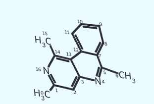 Cc1cc2nc(C)c3ccccc3c2c(C)n1